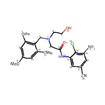 COc1cc(OC)c(CN(CCO)CC(=O)Nc2cc(C#N)cc([N+](=O)[O-])c2Cl)c(OC)c1